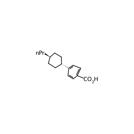 CCC[C@H]1CC[C@H](c2ccc(C(=O)O)cc2)CC1